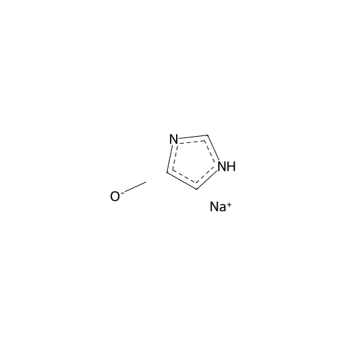 C[O-].[Na+].c1c[nH]cn1